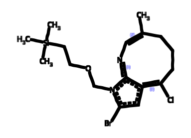 C/C1=C/N=c2\c(cc(Br)n2COCC[Si](C)(C)C)=C(\Cl)CCC1